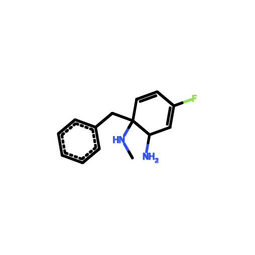 CNC1(Cc2ccccc2)C=CC(F)=CC1N